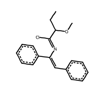 CCC(OC)C(Cl)=NC(=Cc1ccccc1)c1ccccc1